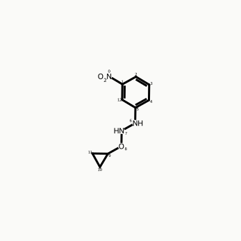 O=[N+]([O-])c1cccc(NNOC2CC2)c1